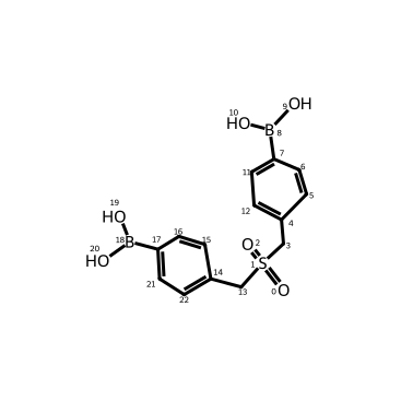 O=S(=O)(Cc1ccc(B(O)O)cc1)Cc1ccc(B(O)O)cc1